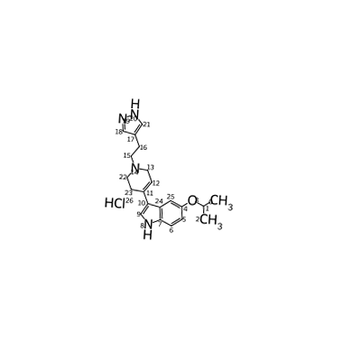 CC(C)Oc1ccc2[nH]cc(C3=CCN(CCc4cn[nH]c4)CC3)c2c1.Cl